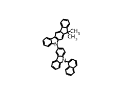 CC1(C)c2ccccc2-c2cc3c4ccccc4n(-c4ccc5c(c4)c4ccccc4n5-c4cccc5ccccc45)c3cc21